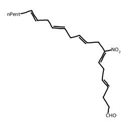 CCCCCC=CCC=CCC=CCC(=CCC=CCC[C]=O)[N+](=O)[O-]